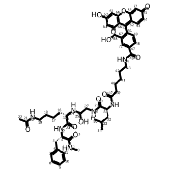 CNC(=O)[C@H](Cc1ccccc1)NC(=O)[C@H](CCCCNC(C)=O)NC(O)CNC(=O)[C@H](CC(C)C)NC(=O)CCCCCNC(=O)c1ccc(-c2c3ccc(=O)cc-3oc3cc(O)ccc23)c(C(=O)O)c1